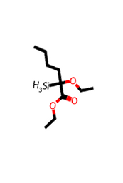 CCCCC([SiH3])(OCC)C(=O)OCC